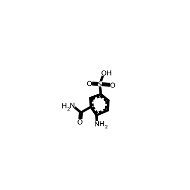 NC(=O)c1cc(S(=O)(=O)O)ccc1N